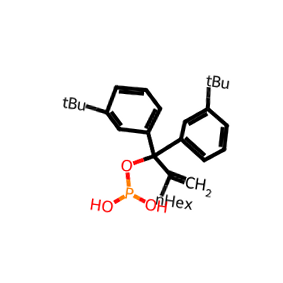 C=C(CCCCCC)C(OP(O)O)(c1cccc(C(C)(C)C)c1)c1cccc(C(C)(C)C)c1